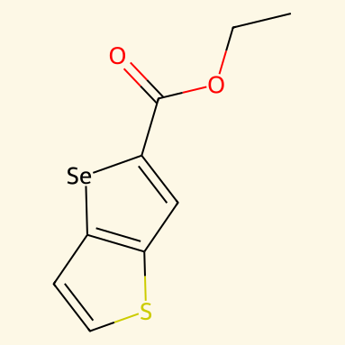 CCOC(=O)c1cc2sccc2[se]1